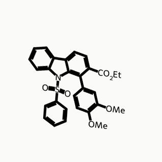 CCOC(=O)c1ccc2c3ccccc3n(S(=O)(=O)c3ccccc3)c2c1-c1ccc(OC)c(OC)c1